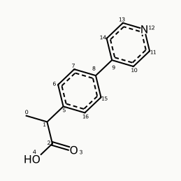 CC(C(=O)O)c1ccc(-c2ccncc2)cc1